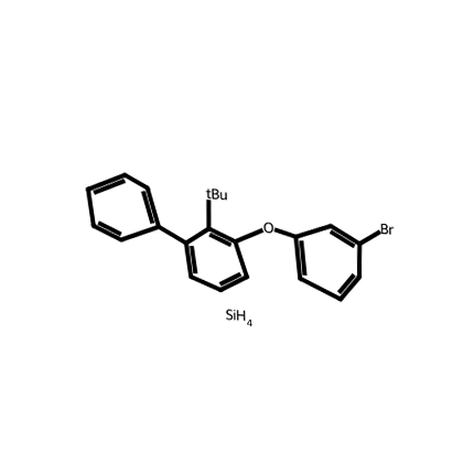 CC(C)(C)c1c(Oc2cccc(Br)c2)cccc1-c1ccccc1.[SiH4]